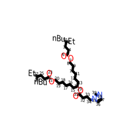 CCCCC(CC)CCC(=O)OCCCCCCC(CCCCCCOC(=O)CCC(CC)CCCC)OC(=O)CCCn1ccnc1